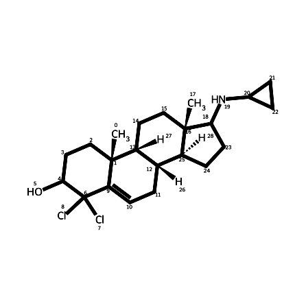 C[C@]12CCC(O)C(Cl)(Cl)C1=CC[C@@H]1[C@H]2CC[C@]2(C)C(NC3CC3)CC[C@@H]12